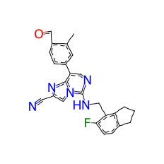 Cc1cc(-c2cnc(NCc3c(F)ccc4c3CCC4)n3cc(C#N)nc23)ccc1C=O